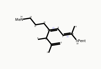 C=C(C)C(C)/C(=C\C=C(/C)CCCCC)CCCNC